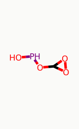 OPOC1OO1